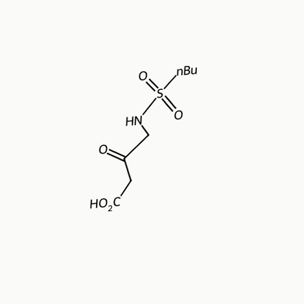 CCCCS(=O)(=O)NCC(=O)CC(=O)O